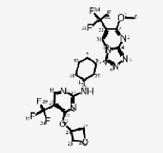 COc1nc2nnc([C@H]3CCC[C@@H](Nc4ncc(C(F)(F)F)c(OC5COC5)n4)C3)n2cc1C(F)(F)F